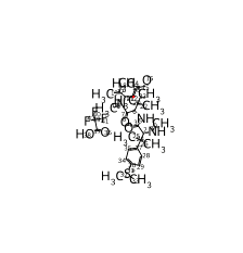 CN[C@H](C(=O)N[C@H](C(=O)N(C)[C@H](/C=C(\C)C=O)C(C)C)C(C)(C)C)C(C)(C)c1ccc([S+](C)C)cc1.O=C(O)C(F)(F)F